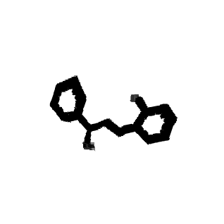 O[C@H](CCc1ccccc1Cl)c1ccccc1